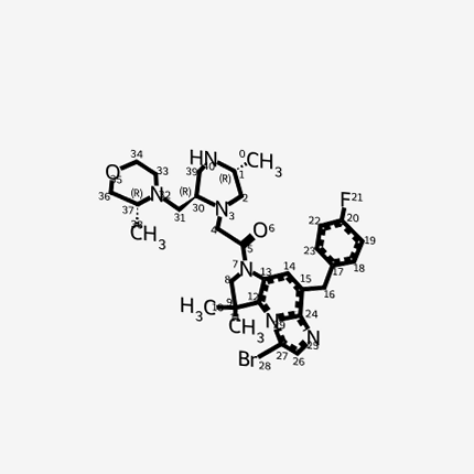 C[C@@H]1CN(CC(=O)N2CC(C)(C)c3c2cc(Cc2ccc(F)cc2)c2ncc(Br)n32)[C@@H](CN2CCOC[C@H]2C)CN1